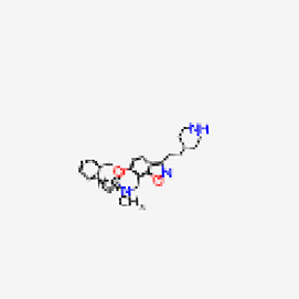 CN(C)Cc1c(OCc2ccccc2C#N)ccc2c(CCC3CCNCC3)noc12